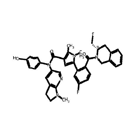 Cc1c(C(=O)N(c2ccc(O)cc2)c2cnc3c(c2)CCN3C)cc(-c2cc(F)ccc2C(=O)N2Cc3ccccc3C[C@H]2CF)n1C